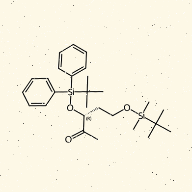 CC(=O)[C@@H](CCO[Si](C)(C)C(C)(C)C)O[Si](c1ccccc1)(c1ccccc1)C(C)(C)C